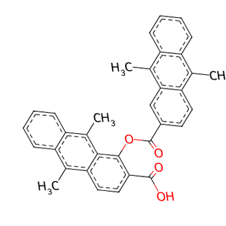 Cc1c2ccccc2c(C)c2cc(C(=O)Oc3c(C(=O)O)ccc4c(C)c5ccccc5c(C)c34)ccc12